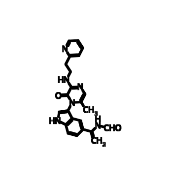 C=C(NC=O)c1ccc2[nH]cc(-n3c(C)cnc(NCCc4ccccn4)c3=O)c2c1